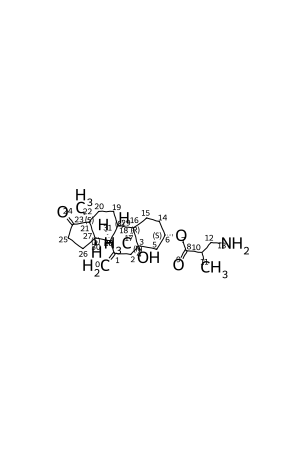 C=C1C[C@@]2(O)C[C@@H](OC(=O)C(C)CN)CC[C@]2(C)[C@H]2CC[C@]3(C)C(=O)CC[C@H]3[C@H]12